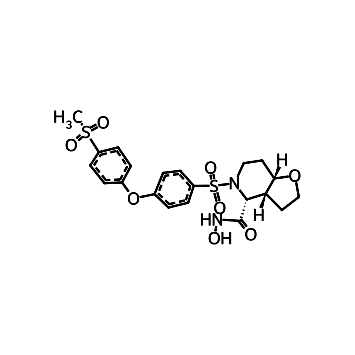 CS(=O)(=O)c1ccc(Oc2ccc(S(=O)(=O)N3CC[C@@H]4OCC[C@@H]4[C@@H]3C(=O)NO)cc2)cc1